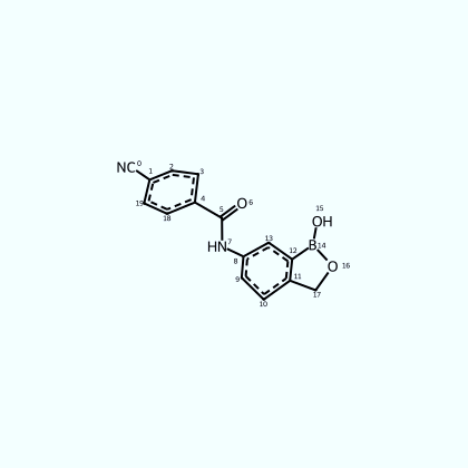 N#Cc1ccc(C(=O)Nc2ccc3c(c2)B(O)OC3)cc1